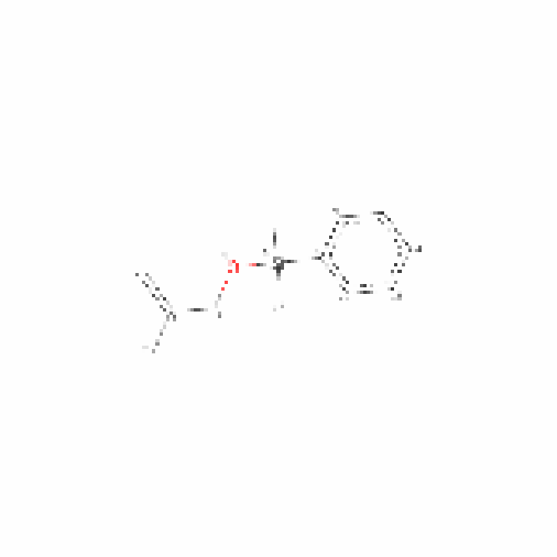 C=C(C)CO[Si](C)(C)c1ccccc1